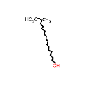 CC(CCCCCCCCCCCCCCCCO)CC(=O)O